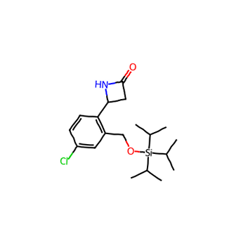 CC(C)[Si](OCc1cc(Cl)ccc1C1CC(=O)N1)(C(C)C)C(C)C